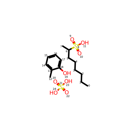 CCCCCCC(C)S(=O)(=O)O.Cc1ccccc1O.O=S(=O)(O)O